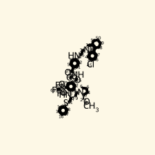 COC[C@@H]1CCCN1CC[C@H](CSc1ccccc1)Nc1ccc(S(=O)(=O)NC(=O)c2ccc(NCCNCC3=C(c4ccc(Cl)cc4)CCCC3)cc2)cc1S(=O)(=O)C(F)(F)F